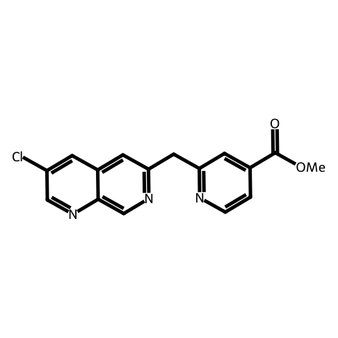 COC(=O)c1ccnc(Cc2cc3cc(Cl)cnc3cn2)c1